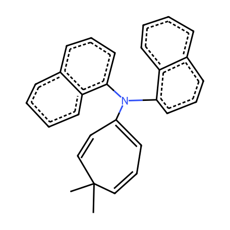 CC1(C)C=CC=C(N(c2cccc3ccccc23)c2cccc3ccccc23)C=C1